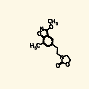 COc1noc2c(C)cc(CCN3CCOC3=O)cc12